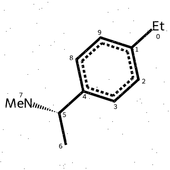 CCc1ccc([C@H](C)NC)cc1